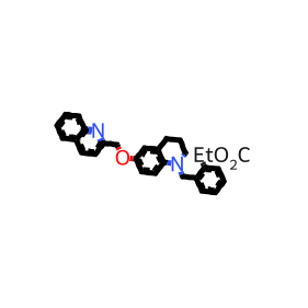 CCOC(=O)c1ccccc1CN1CCCc2cc(OCc3ccc4ccccc4n3)ccc21